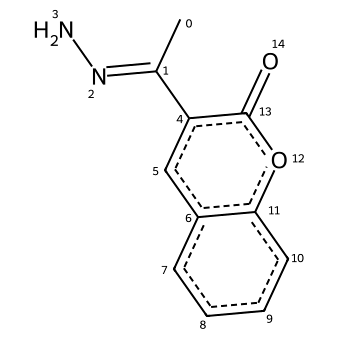 CC(=NN)c1cc2ccccc2oc1=O